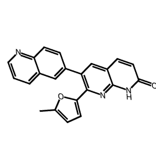 Cc1ccc(-c2nc3[nH]c(=O)ccc3cc2-c2ccc3ncccc3c2)o1